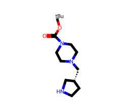 CC(C)(C)OC(=O)N1CCN(C[C@@H]2CCNC2)CC1